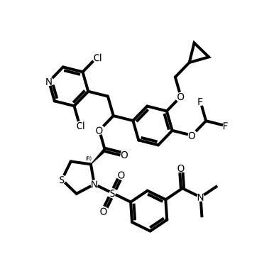 CN(C)C(=O)c1cccc(S(=O)(=O)N2CSC[C@H]2C(=O)OC(Cc2c(Cl)cncc2Cl)c2ccc(OC(F)F)c(OCC3CC3)c2)c1